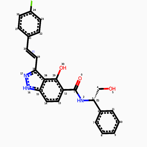 O=C(N[C@H](CO)c1ccccc1)c1ccc2[nH]nc(/C=C/c3ccc(F)cc3)c2c1O